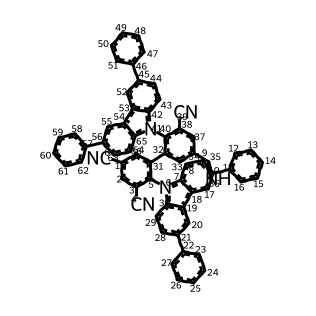 N#Cc1cc(C#N)c(-n2c3ccc(-c4ccccc4)cc3c3cc(-c4ccccc4)ccc32)c(-c2cc(C=N)cc(C#N)c2-n2c3ccc(-c4ccccc4)cc3c3cc(-c4ccccc4)ccc32)c1